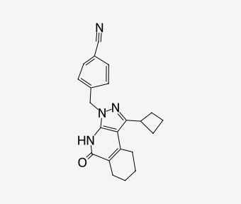 N#Cc1ccc(Cn2nc(C3CCC3)c3c4c(c(=O)[nH]c32)CCCC4)cc1